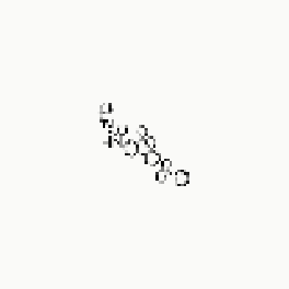 O=C(CN1CCOCC1)Nc1ccc2c(c1)c(=O)oc1cc(OC(=O)c3ccccc3)ccc12